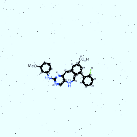 COc1cccc(Nc2ncc3c(n2)C=c2cc(C(=O)O)cc(-c4ccccc4F)c2=CN3)c1